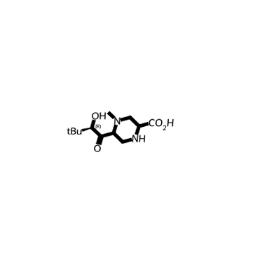 CN1CC(C(=O)O)NCC1C(=O)[C@H](O)C(C)(C)C